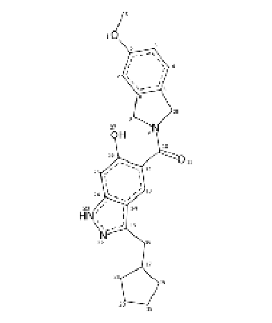 COc1ccc2c(c1)CN(C(=O)c1cc3c(CC4CCCC4)n[nH]c3cc1O)C2